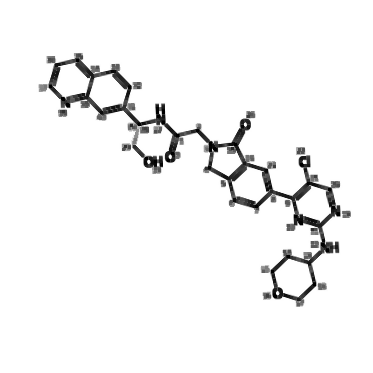 O=C(CN1Cc2ccc(-c3nc(NC4CCOCC4)ncc3Cl)cc2C1=O)N[C@H](CO)c1ccc2cccnc2c1